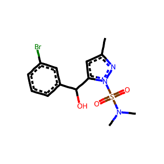 Cc1cc(C(O)c2cccc(Br)c2)n(S(=O)(=O)N(C)C)n1